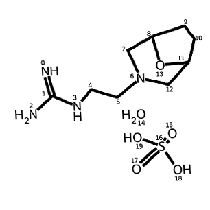 N=C(N)NCCN1CC2CCC(C1)O2.O.O=S(=O)(O)O